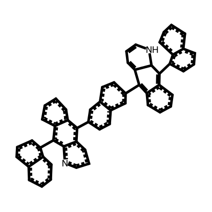 C1=CNC2C(=C1)C(c1ccc3cc(-c4c5ccccc5c(-c5cccc6ccccc56)c5ncccc45)ccc3c1)=c1ccccc1=C2c1cccc2ccccc12